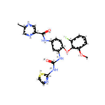 COc1cccc(F)c1Oc1ccc(NC(=O)c2cnc(C)cn2)cc1NC(=O)Nc1nccs1